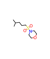 CC(C)CCCS(=O)(=O)N1CCOCC1